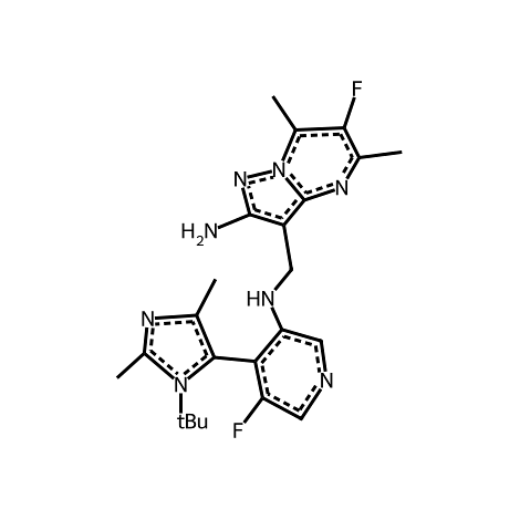 Cc1nc2c(CNc3cncc(F)c3-c3c(C)nc(C)n3C(C)(C)C)c(N)nn2c(C)c1F